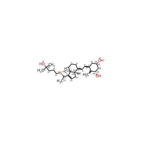 C=C1/C(=C\C=C2/CCC[C@]3(C)C(C(C)SCCCC(C)(C)O)=CC[C@@H]23)C[C@@H](O)C[C@@H]1O